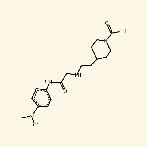 C[S+]([O-])c1ccc(NC(=O)CNCCC2CCN(C(=O)O)CC2)cc1